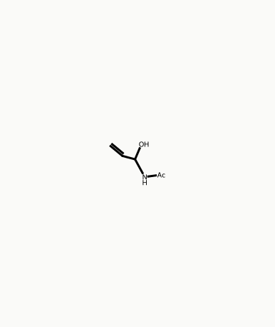 C=CC(O)NC(C)=O